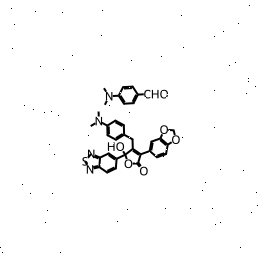 CN(C)c1ccc(C=O)cc1.CN(C)c1ccc(CC2=C(c3ccc4c(c3)OCO4)C(=O)OC2(O)c2ccc3nsnc3c2)cc1